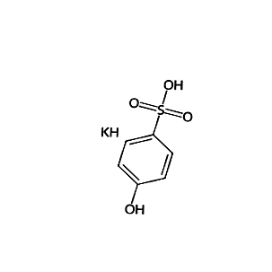 O=S(=O)(O)c1ccc(O)cc1.[KH]